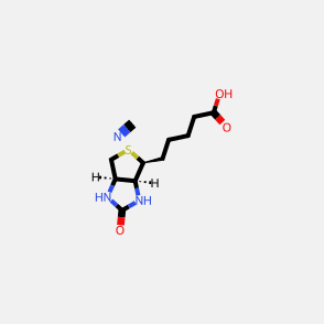 C#N.O=C(O)CCCC[C@@H]1SC[C@@H]2NC(=O)N[C@@H]21